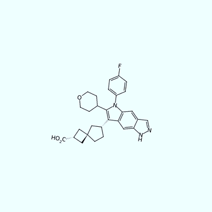 O=C(O)[C@H]1C[C@@]2(CC[C@@H](c3c(C4CCOCC4)n(-c4ccc(F)cc4)c4cc5cn[nH]c5cc34)C2)C1